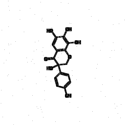 O=C1c2cc(O)c(O)c(O)c2OCC1(O)c1ccc(O)cc1